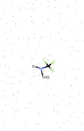 CCN([C]=O)C(F)(F)F